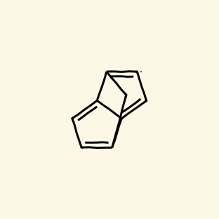 [C]1=C2CC3=CC=C2C3=C1